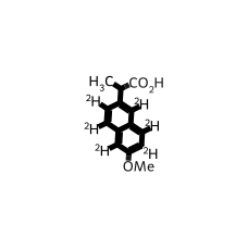 [2H]c1c(C(C)C(=O)O)c([2H])c2c([2H])c([2H])c(OC)c([2H])c2c1[2H]